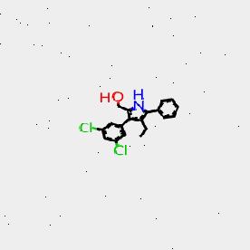 CCc1c(-c2ccccc2)[nH]c(CO)c1-c1cc(Cl)cc(Cl)c1